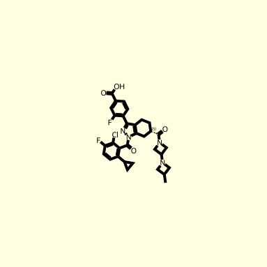 CC1CN(C2CN(C(=O)[C@H]3CCc4c(-c5ccc(C(=O)O)cc5F)nn(C(=O)c5c(C6CC6)ccc(F)c5Cl)c4C3)C2)C1